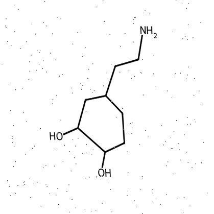 NCCC1CCC(O)C(O)C1